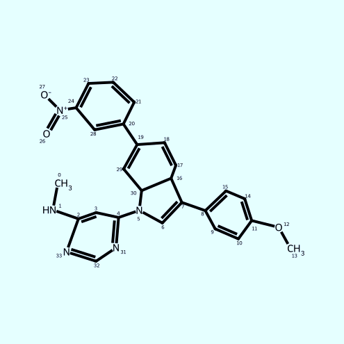 CNc1cc(N2C=C(c3ccc(OC)cc3)C3C=CC(c4cccc([N+](=O)[O-])c4)=CC32)ncn1